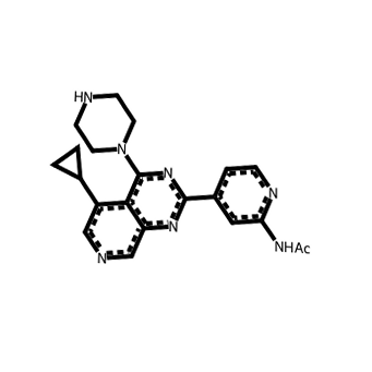 CC(=O)Nc1cc(-c2nc(N3CCNCC3)c3c(C4CC4)cncc3n2)ccn1